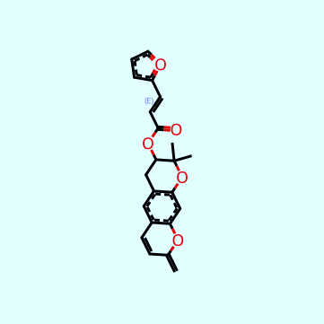 C=C1C=Cc2cc3c(cc2O1)OC(C)(C)C(OC(=O)/C=C/c1ccco1)C3